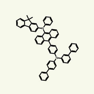 CC1(C)c2ccccc2-c2ccc(N(c3ccccc3)c3c4ccccc4c(-c4ccc(N(c5ccc(-c6ccccc6)cc5)c5cccc(-c6ccccc6)c5)cc4)c4ccccc34)cc21